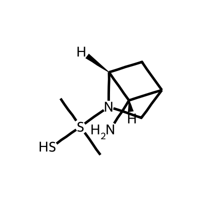 CS(C)(S)N1CC2C[C@@H]1[C@H]2N